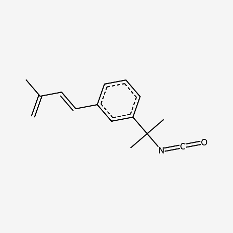 C=C(C)C=Cc1cccc(C(C)(C)N=C=O)c1